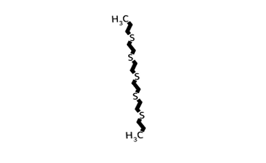 CCCSCCSCCSCCSCCSCCC